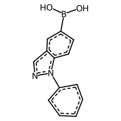 OB(O)c1ccc2c(cnn2-c2ccccc2)c1